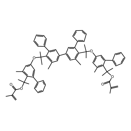 C=C(C)C(=O)OC(C)(C)c1c(C)cc(OC(C)(C)c2c(C)cc(-c3cc(C)c(C(C)(C)Oc4cc(C)c(C(C)(C)OC(=O)C(=C)C)c(-c5ccccc5)c4)c(-c4ccccc4)c3)cc2-c2ccccc2)cc1-c1ccccc1